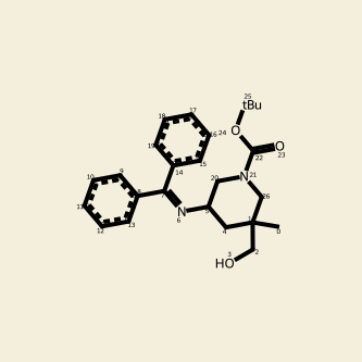 CC1(CO)CC(N=C(c2ccccc2)c2ccccc2)CN(C(=O)OC(C)(C)C)C1